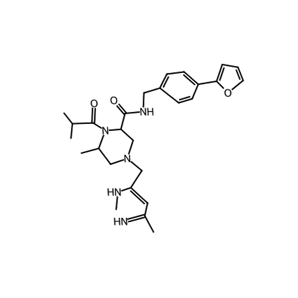 CN/C(=C\C(C)=N)CN1CC(C)N(C(=O)C(C)C)C(C(=O)NCc2ccc(-c3ccco3)cc2)C1